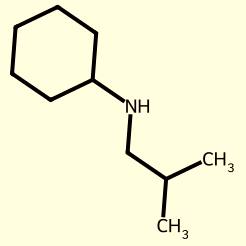 CC(C)CNC1CCCCC1